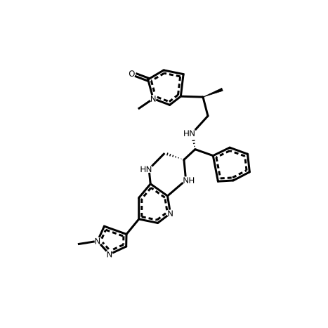 C[C@@H](CN[C@H](c1ccccc1)[C@H]1CNc2cc(-c3cnn(C)c3)cnc2N1)c1ccc(=O)n(C)c1